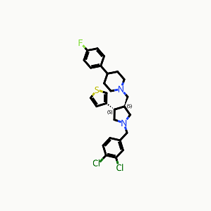 Fc1ccc(C2CCN(C[C@H]3CN(Cc4ccc(Cl)c(Cl)c4)C[C@@H]3c3ccsc3)CC2)cc1